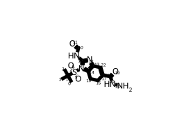 CC(C)(C)S(=O)(=O)n1c(NC=O)nc2c1CCC(C(=O)NN)=C2